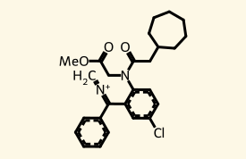 C=[N+]=C(c1ccccc1)c1cc(Cl)ccc1N(CC(=O)OC)C(=O)CC1CCCCCC1